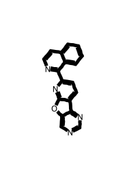 c1ccc2c(-c3ccc4c(n3)oc3cncnc34)nccc2c1